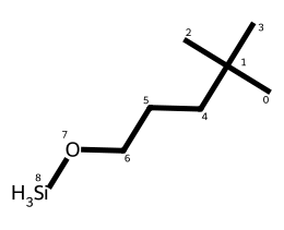 CC(C)(C)CCCO[SiH3]